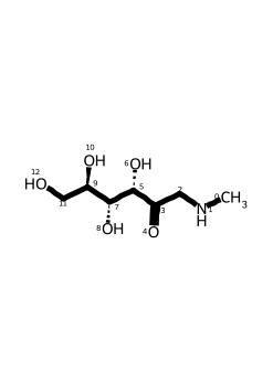 CNCC(=O)[C@@H](O)[C@H](O)[C@H](O)CO